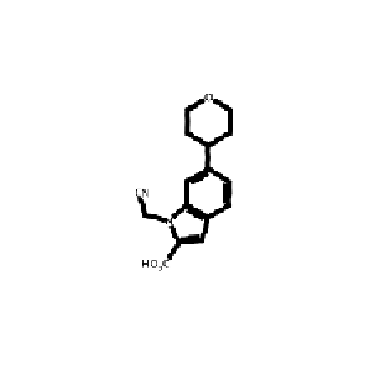 N#CCn1c(C(=O)O)cc2ccc(C3CCOCC3)cc21